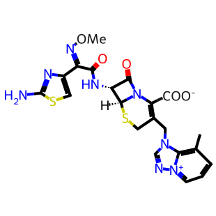 CO/N=C(\C(=O)N[C@@H]1C(=O)N2C(C(=O)[O-])=C(Cn3cn[n+]4cccc(C)c34)CS[C@@H]12)c1csc(N)n1